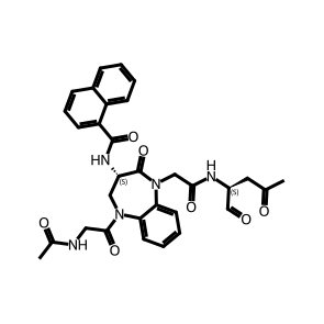 CC(=O)C[C@@H](C=O)NC(=O)CN1C(=O)[C@@H](NC(=O)c2cccc3ccccc23)CN(C(=O)CNC(C)=O)c2ccccc21